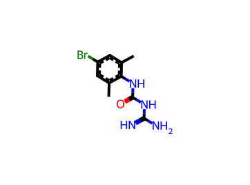 Cc1cc(Br)cc(C)c1NC(=O)NC(=N)N